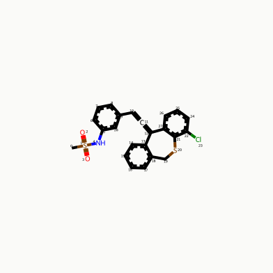 CS(=O)(=O)Nc1cccc(C=C=C2c3ccccc3CSc3c(Cl)cccc32)c1